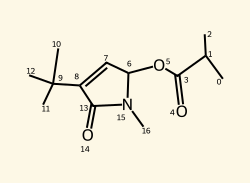 CC(C)C(=O)OC1C=C(C(C)(C)C)C(=O)N1C